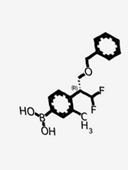 Cc1cc(B(O)O)ccc1[C@H](COCc1ccccc1)C(F)F